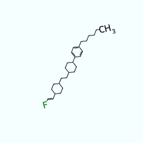 CCCCCCc1ccc(C2CCC(CCC3CCC(C=CF)CC3)CC2)cc1